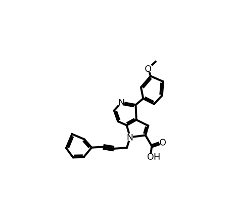 COc1cccc(-c2nccc3c2cc(C(=O)O)n3CC#Cc2ccccc2)c1